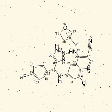 N#Cc1cnc2c(Cl)cc(NC(c3ccc(F)cc3)c3c[nH]nn3)cc2c1NCC1CCOC1